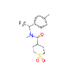 Cc1ccc(C(N(C)C(=O)C2CCS(=O)(=O)CC2)C(F)(F)F)cc1